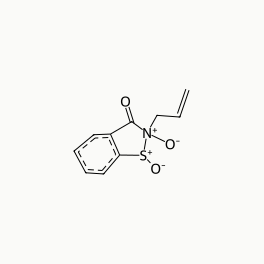 C=CC[N+]1([O-])C(=O)c2ccccc2[S+]1[O-]